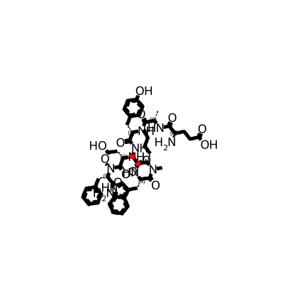 CCCC[C@@H](C(=O)N[C@@H](CC(=O)O)C(=O)N(C)[C@@H](Cc1ccccc1)C(N)=O)N(C)C(=O)[C@H](Cc1c[nH]c2ccccc12)NC(=O)CNC(=O)[C@H](Cc1ccc(O)cc1)NC(=O)[C@H](C)NC(=O)[C@H](N)CCC(=O)O